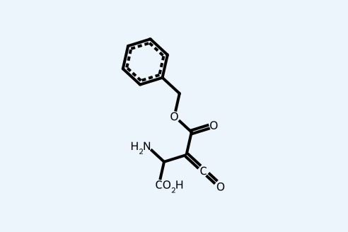 NC(C(=O)O)C(=C=O)C(=O)OCc1ccccc1